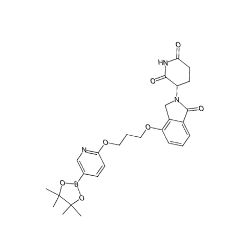 CC1(C)OB(c2ccc(OCCCOc3cccc4c3CN(C3CCC(=O)NC3=O)C4=O)nc2)OC1(C)C